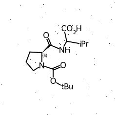 CC(C)C(NC(=O)[C@@H]1CCCN1C(=O)OC(C)(C)C)C(=O)O